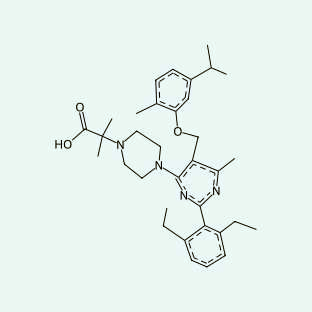 CCc1cccc(CC)c1-c1nc(C)c(COc2cc(C(C)C)ccc2C)c(N2CCN(C(C)(C)C(=O)O)CC2)n1